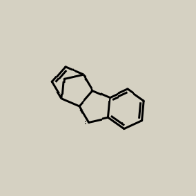 [C]1c2ccccc2C2C3C=CC(C3)C12